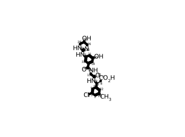 Cc1cc(Cl)cc([C@H](CC(=O)O)NC(=O)CNC(=O)c2cc(O)cc(NC3=NCC(O)CN3)c2)c1